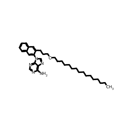 CCCCCCCCCCCCCCCCOCCCc1[c]c2ccccc2cc1-n1cnc2c(N)ncnc21